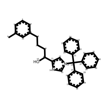 Cc1cccc(CCCC(O)c2cn(C(c3ccccc3)(c3ccccc3)c3ccccc3)cn2)c1